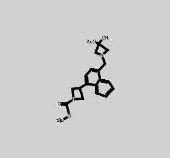 CC(=O)OC1(C)CN(Cc2ccc(C3CN(C(=O)OC(C)(C)C)C3)c3ccccc23)C1